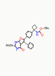 CNc1nc2oc(-c3ccc(C4(NC(=O)OC(C)(C)C)CCC4)cc3)c(-c3ccccc3)c2c(=O)n1C